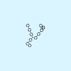 c1ccc(-c2ccc(-c3ccc(C(c4ccc(-c5cccc6ccccc56)cc4)c4cccc(-c5ccc(-c6ccc7oc8ccccc8c7c6)cc5)c4)cc3)cc2)cc1